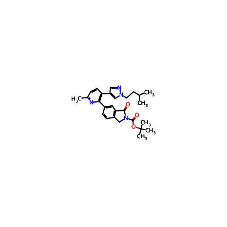 Cc1ccc(-c2cnn(CCC(C)C)c2)c(-c2ccc3c(c2)C(=O)N(C(=O)OC(C)(C)C)C3)n1